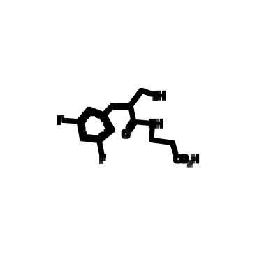 O=C(O)CCNC(=O)/C(=C\c1cc(F)cc(F)c1)CS